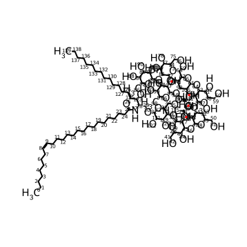 CCCCCCCC/C=C\CCCCCCCCCCCCCCCC(=O)N[C@@H](CO[C@@H]1OC(CO)[C@@H](O[C@@H]2OC(CO)[C@H](O)[C@H](O[C@@H]3OC(CO)[C@@H](O)[C@H](O[C@@H]4OC(CO)[C@H](O)[C@H](O[C@@H]5OC(CO)[C@@H](O[C@@H]6OC(CO)[C@H](O)[C@H](O)C6O[C@H]6OC(C)[C@@H](O)C(O)[C@@H]6O)[C@H](O[C@H]6OC(C)[C@@H](O)C(O)[C@@H]6O)C5NC(C)=O)C4O)C3NC(C)=O)C2O)[C@H](O)C1O)[C@H](O)/C=C/CCCCCCCCCCCCC